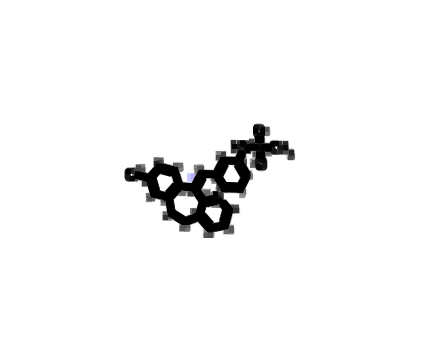 CS(=O)(=O)Nc1cccc(/C=C2/c3ccc(Cl)cc3CCc3cccnc32)c1